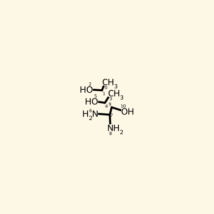 CCO.CCO.NC(N)CO